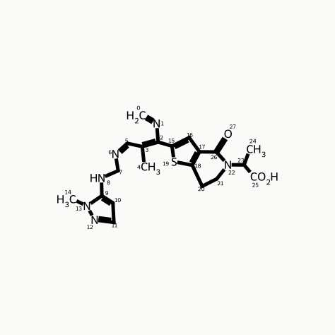 C=N/C(=C(C)\C=N/CNc1ccnn1C)c1cc2c(s1)CCN(C(C)C(=O)O)C2=O